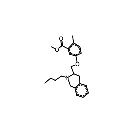 CCCCN1Cc2ccccc2CC1COc1ccc(C)c(C(=O)OC)c1